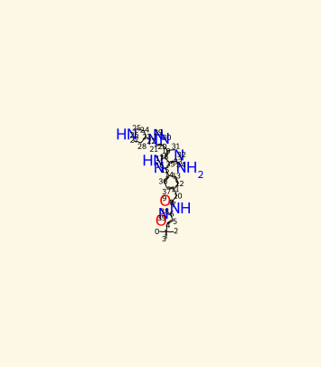 CC(C)(C)c1cc(NC(=O)Cc2ccc(-c3n[nH]c4c(-c5cn(C6CCNCC6)nn5)cnc(N)c34)cc2)no1